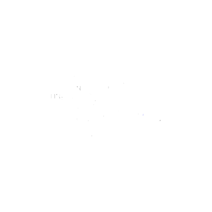 C=C([N+](=C)C=N)C1(c2cccc(/C=C/C)c2)CC(C)(C)C1